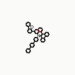 c1ccc(-c2ccc(-c3ccc(N(c4cccc(-c5cccc6c5oc5ccccc56)c4)c4c(-c5ccccc5)c5ccccc5c5ccccc45)cc3)cc2)cc1